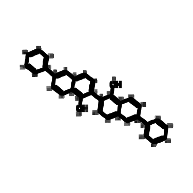 Oc1c(-c2ccc3cc(-c4ccccc4)ccc3c2O)ccc2cc(-c3ccccc3)ccc12